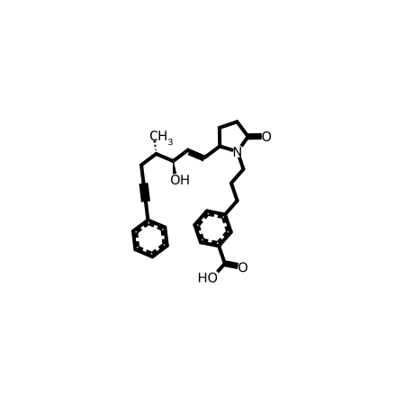 C[C@@H](CC#Cc1ccccc1)[C@H](O)C=CC1CCC(=O)N1CCCc1cccc(C(=O)O)c1